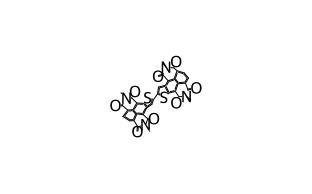 CN1C(=O)c2ccc3c4c(c5sc(-c6cc7c8c9c(ccc%10c9c(c7s6)C(=O)N(C)C%10=O)C(=O)N(C)C8=O)cc5c(c24)C1=O)C(=O)N(C)C3=O